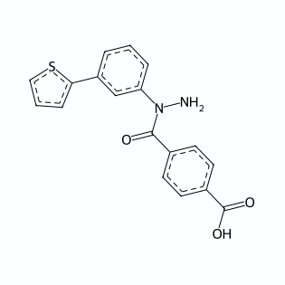 NN(C(=O)c1ccc(C(=O)O)cc1)c1cccc(-c2cccs2)c1